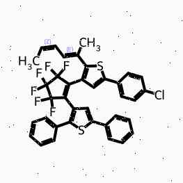 C/C=C\C=C(/C)c1sc(-c2ccc(Cl)cc2)cc1C1=C(c2cc(-c3ccccc3)sc2-c2ccccc2)C(F)(F)C(F)(F)C1(F)F